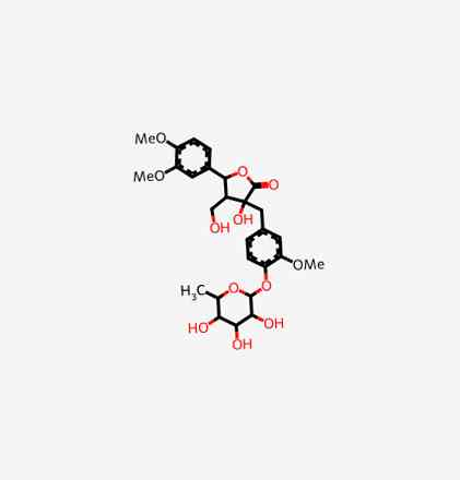 COc1ccc(C2OC(=O)C(O)(Cc3ccc(OC4OC(C)C(O)C(O)C4O)c(OC)c3)C2CO)cc1OC